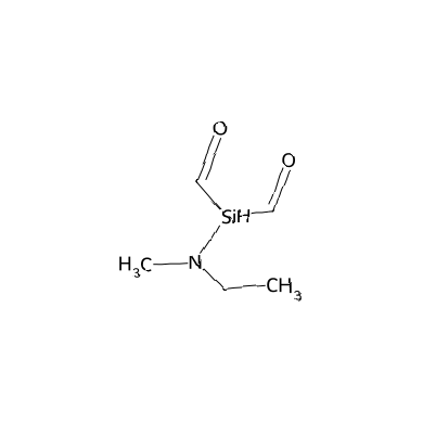 CCN(C)[SiH](C=O)C=O